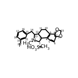 CN1CC2c3ccc4c(c3CCC2C1Cc1cccc(F)c1)OCO4.CS(=O)(=O)O